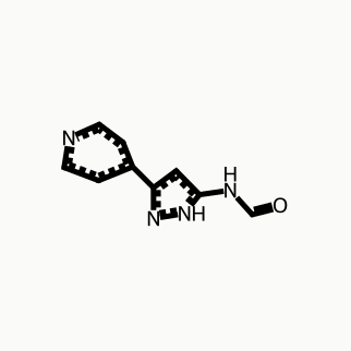 O=CNc1cc(-c2ccncc2)n[nH]1